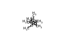 CCCCOc1c2cc(C)cc(OC)c2c(OCCCC)c2c(OC)cc(OC)cc12